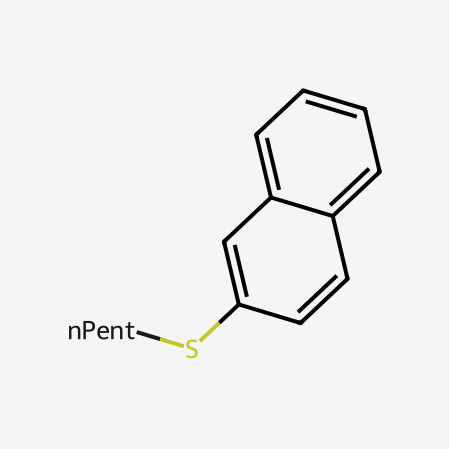 [CH2]CCCCSc1ccc2ccccc2c1